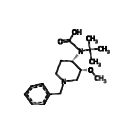 CO[C@@H]1CN(Cc2ccccc2)CC[C@@H]1N(C(=O)O)C(C)(C)C